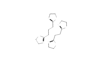 C(CC1=NCCO1)CC1=NCCO1.C1COC(CCC2=NCCO2)=N1